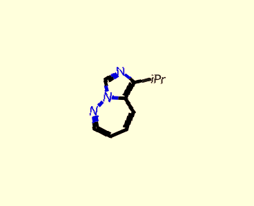 CC(C)c1ncn2c1C=CC=C=N2